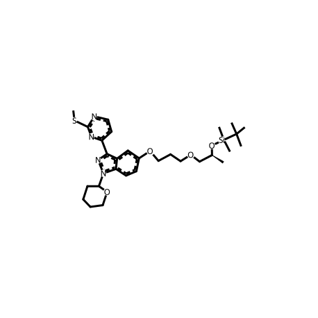 CSc1nccc(-c2nn(C3CCCCO3)c3ccc(OCCCOC[C@H](C)O[Si](C)(C)C(C)(C)C)cc23)n1